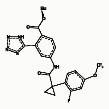 CC[C@H](C)OC(=O)c1ccc(NC(=O)C2(c3ccc(OC(F)(F)F)cc3F)CC2)cc1-c1nnn[nH]1